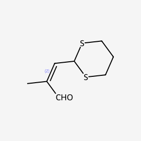 C/C(C=O)=C/C1SCCCS1